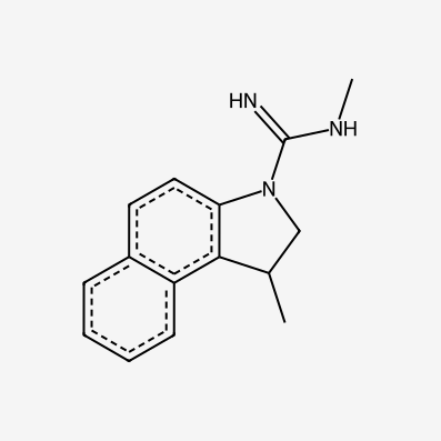 CNC(=N)N1CC(C)c2c1ccc1ccccc21